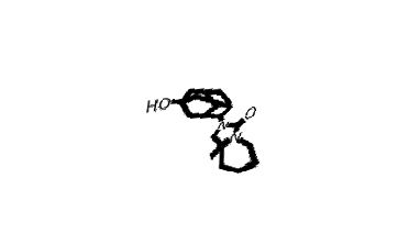 CC12CCCCN1C(=O)N(C1C3CC4CC1CC(O)(C4)C3)C2